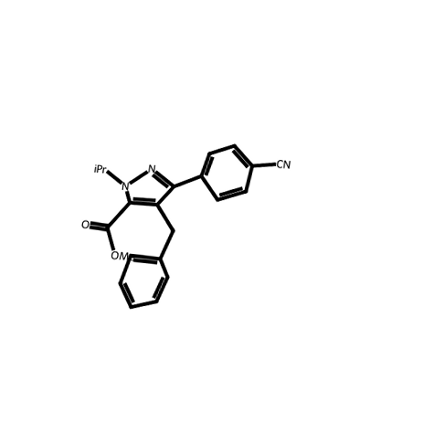 COC(=O)c1c(Cc2ccccc2)c(-c2ccc(C#N)cc2)nn1C(C)C